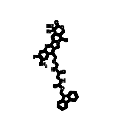 CC[C@@]1(O)C(=O)OCc2c1cc1n(c2=O)Cc2c-1nc1cc(F)c(N)cc1c2COCNC(=O)CNC(=O)OCC1c2ccccc2-c2ccccc21